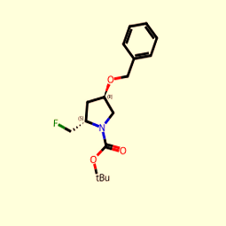 CC(C)(C)OC(=O)N1C[C@H](OCc2ccccc2)C[C@H]1CF